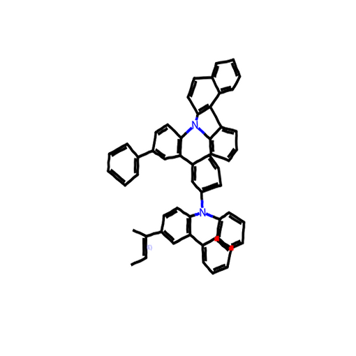 C/C=C(\C)c1ccc(N(c2ccccc2)c2cccc(-c3cc(-c4ccccc4)ccc3-n3c4ccccc4c4c5ccccc5ccc43)c2)c(-c2ccccc2)c1